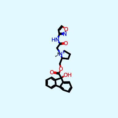 C[N@+]1(CC(=O)Nc2ccon2)CCCC1COC(=O)C1(O)c2ccccc2-c2ccccc21